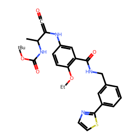 CCOc1ccc(NC(=C=O)C(C)NC(=O)OC(C)(C)C)cc1C(=O)NCc1cccc(-c2nccs2)c1